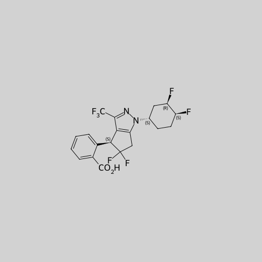 O=C(O)c1ccccc1[C@H]1c2c(C(F)(F)F)nn([C@H]3CC[C@H](F)[C@H](F)C3)c2CC1(F)F